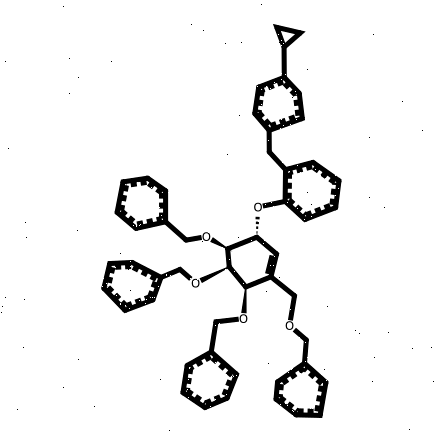 C1=C(COCc2ccccc2)[C@@H](OCc2ccccc2)[C@@H](OCc2ccccc2)[C@@H](OCc2ccccc2)[C@@H]1Oc1ccccc1Cc1ccc(C2CC2)cc1